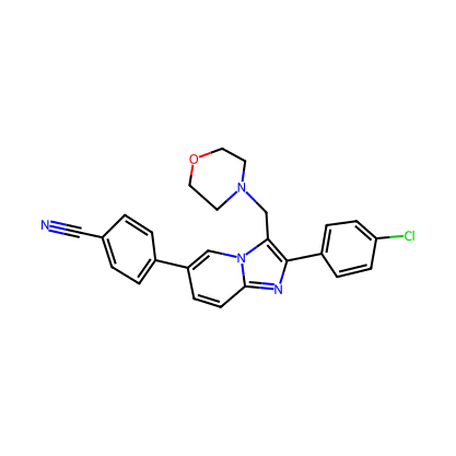 N#Cc1ccc(-c2ccc3nc(-c4ccc(Cl)cc4)c(CN4CCOCC4)n3c2)cc1